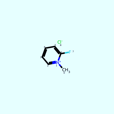 C[n+]1ccccc1F.[Cl-]